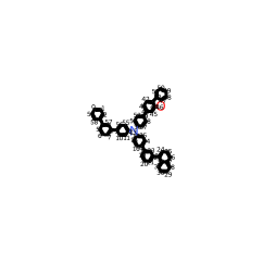 c1ccc(-c2cccc(-c3ccc(N(c4ccc(-c5cccc(-c6cccc7ccccc67)c5)cc4)c4ccc(-c5ccc6c(c5)oc5ccccc56)cc4)cc3)c2)cc1